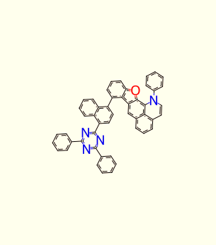 C1=CN(c2ccccc2)c2c3oc4cccc(-c5ccc(-c6nc(-c7ccccc7)nc(-c7ccccc7)n6)c6ccccc56)c4c3cc3cccc1c23